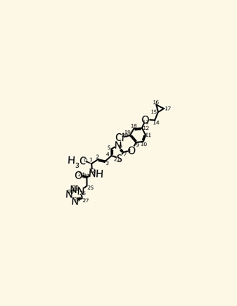 C[C@@H](/C=C/c1cnc(Oc2ccc(OCC3CC3)cc2Cl)s1)NC(=O)Cn1cnnn1